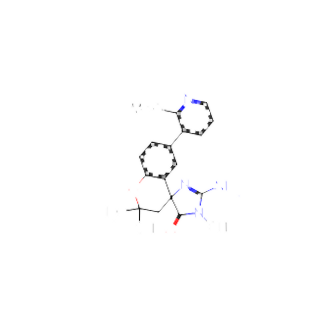 COc1ncccc1-c1ccc2c(c1)C1(CC(C)(C)O2)N=C(N)N(C)C1=O